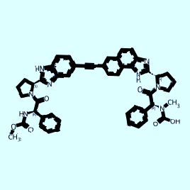 COC(=O)N[C@@H](C(=O)N1CCC[C@H]1c1nc2cc(C#Cc3ccc4c(ccc5nc([C@@H]6CCCN6C(=O)[C@@H](c6ccccc6)N(C)C(=O)O)[nH]c54)c3)ccc2[nH]1)c1ccccc1